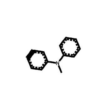 CN(c1cc#ccc1)c1ccccc1